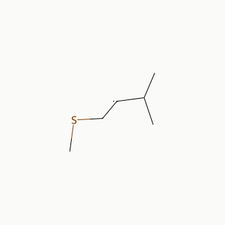 CSC[CH]C(C)C